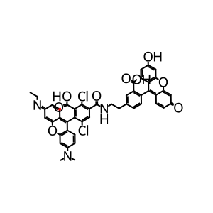 CC/N=c1\ccc2c(-c3c(Cl)cc(C(=O)NCCc4ccc(-c5c6ccc(=O)cc-6oc6cc(O)ccc56)c(C(=O)O)c4)c(Cl)c3C(=O)O)c3ccc(N(C)C)cc3oc-2c1